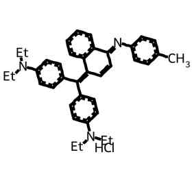 CCN(CC)c1ccc(C(=C2C=CC(=Nc3ccc(C)cc3)c3ccccc32)c2ccc(N(CC)CC)cc2)cc1.Cl